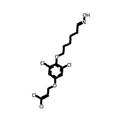 O/N=C/CCCCCOc1c(Cl)cc(OCC=C(Cl)Cl)cc1Cl